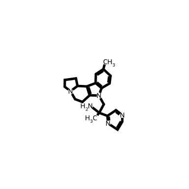 Cc1ccc2c(c1)c1c(n2CC(C)(N)c2cnccn2)CCN2CCCC12